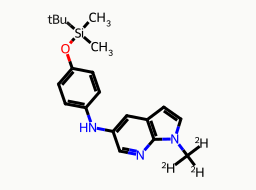 [2H]C([2H])([2H])n1ccc2cc(Nc3ccc(O[Si](C)(C)C(C)(C)C)cc3)cnc21